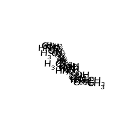 [2H]C([2H])([2H])n1cc(-c2ccnc(N3CCn4c(cc5c4CC(C)(C)C5)C3=O)c2CO)cc(Nc2ccc(N3CCN([C@H]4CCN(c5cccc(N6CCC(=O)NC6=O)c5)[C@@H](C)C4)C[C@@H]3C)cn2)c1=O